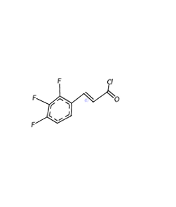 O=C(Cl)/C=C/c1ccc(F)c(F)c1F